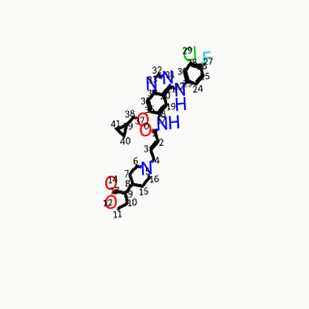 O=C(C=CCN1CCC(C2CCOC2=O)CC1)Nc1cc2c(Nc3ccc(F)c(Cl)c3)ncnc2cc1OCC1CC1